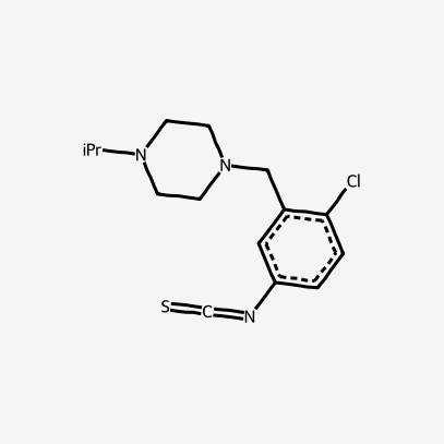 CC(C)N1CCN(Cc2cc(N=C=S)ccc2Cl)CC1